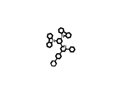 C1=CC(c2ccc(-c3cc(-c4ccccc4)nc(-c4cc(-n5c6ccccc6c6ccccc65)cc(-n5c6ccccc6c6ccccc65)c4)c3)cc2)=CCC1